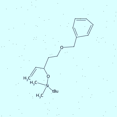 C=CC(CCOCc1ccccc1)O[Si](C)(C)C(C)(C)C